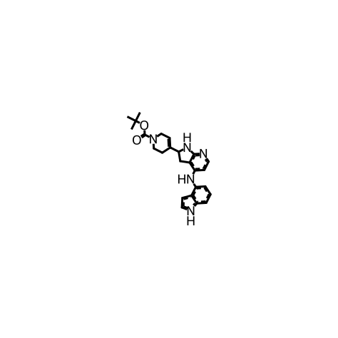 CC(C)(C)OC(=O)N1CC=C(C2Cc3c(Nc4cccc5[nH]ccc45)ccnc3N2)CC1